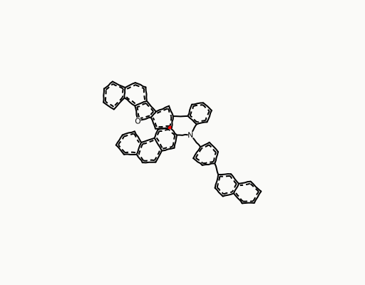 c1ccc(N(c2ccc(-c3ccc4ccccc4c3)cc2)c2ccc3c(ccc4ccccc43)c2)c(-c2ccc3oc4c5ccccc5ccc4c3c2)c1